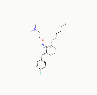 CCCCCCC[C@@H]1CCCC(=C\c2ccc(F)cc2)/C1=N/OCCN(C)C